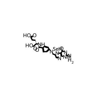 Nc1nc(=O)c2nc(CN([SeH])c3ccc(C(=O)N[C@@H](CCC(=O)O)C(=O)O)cc3)cnc2[nH]1